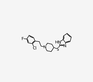 Fc1ccc(CCN2CCC(Sc3nc4ccccc4[nH]3)CC2)c(Cl)c1